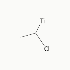 C[CH](Cl)[Ti]